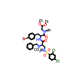 CCOC(CN(C(=O)C(Cc1ccc(Br)cc1)NC(=O)C(CNS(=O)(=O)c1ccc(Cl)cc1Cl)N(Cc1ccccc1)C(=O)O)C(C)C)OCC